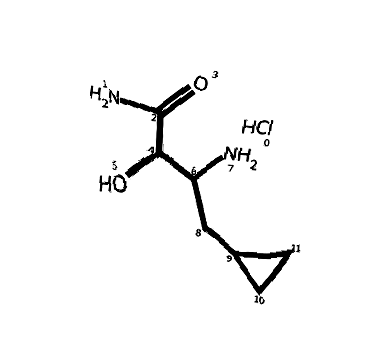 Cl.NC(=O)C(O)C(N)CC1CC1